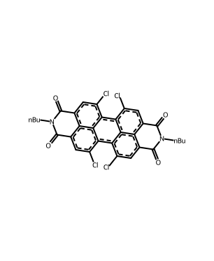 CCCCN1C(=O)c2cc(Cl)c3c4c(Cl)cc5c6c(cc(Cl)c(c7c(Cl)cc(c2c37)C1=O)c64)C(=O)N(CCCC)C5=O